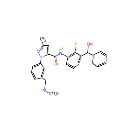 O=C(O)NCc1cccc(-n2nc(C(F)(F)F)cc2C(=O)Nc2cccc(C(O)c3ccccc3)c2F)c1